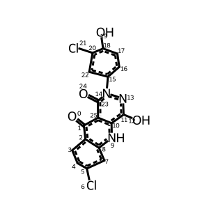 O=c1c2ccc(Cl)cc2[nH]c2c(O)nn(-c3ccc(O)c(Cl)c3)c(=O)c12